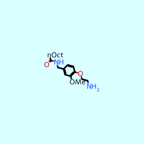 CCCCCCCCC(=O)NCc1ccc(OCCN)c(OC)c1